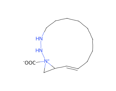 O=C([O-])[N+]12CC1/C=C/CCCCCCCCNN2